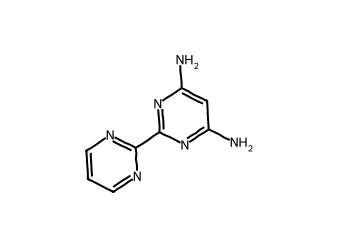 Nc1cc(N)nc(-c2ncccn2)n1